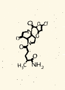 CC(C[CH]C(=O)N1CCC2C1C(=O)CN2C(=O)C1OC(Cl)=CC1=O)C(N)=O